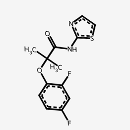 CC(C)(Oc1ccc(F)cc1F)C(=O)Nc1nccs1